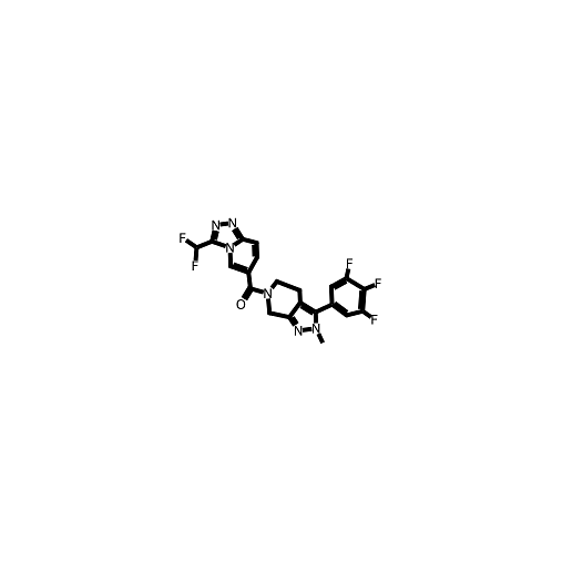 Cn1nc2c(c1-c1cc(F)c(F)c(F)c1)CCN(C(=O)c1ccc3nnc(C(F)F)n3c1)C2